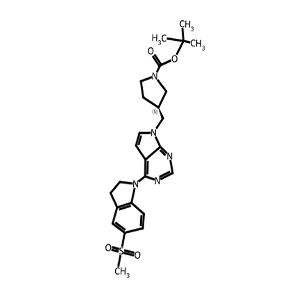 CC(C)(C)OC(=O)N1CC[C@H](Cn2ccc3c(N4CCc5cc(S(C)(=O)=O)ccc54)ncnc32)C1